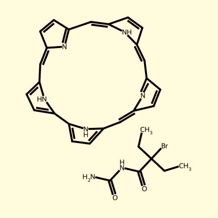 C1=Cc2cc3ccc([nH]3)c3ccc(cc4nc(cc5ccc(cc1n2)[nH]5)C=C4)[nH]3.CCC(Br)(CC)C(=O)NC(N)=O